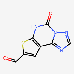 O=Cc1cc2c([nH]c(=O)n3ncnc23)s1